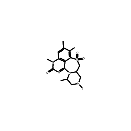 Cc1cc2c3c(nc(=O)n2I)N2C(C)CN(I)CC2CS(=O)(=O)c3c1F